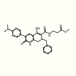 COC(=O)CCNC(=O)C1=C(O)c2cc(-c3cnc(N(C)C)nc3)c(=O)[nH]c2CN1Cc1ccccc1